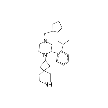 CC(C)c1ccccc1C1CN(CC2CCCC2)CCN1C1CC2(CCNCC2)C1